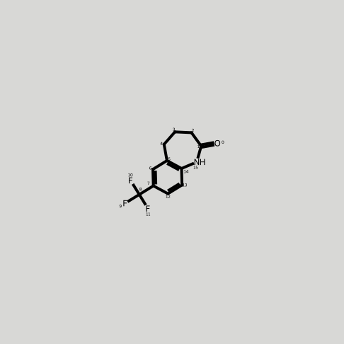 O=C1CCCc2cc(C(F)(F)F)ccc2N1